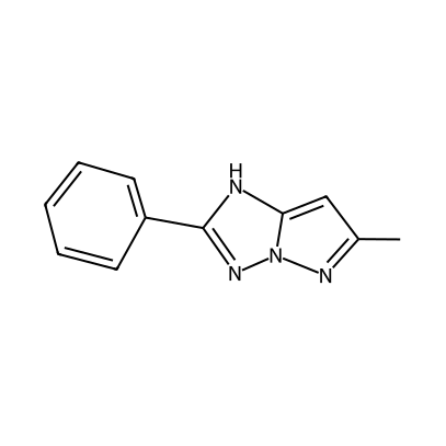 Cc1cc2[nH]c(-c3ccccc3)nn2n1